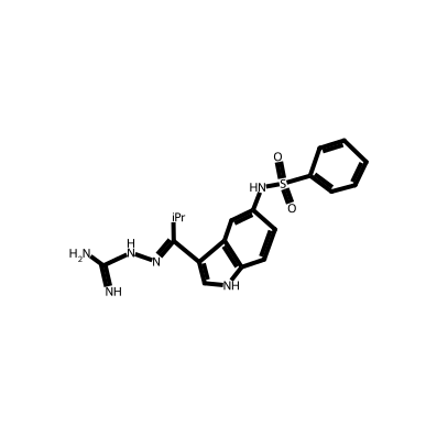 CC(C)/C(=N\NC(=N)N)c1c[nH]c2ccc(NS(=O)(=O)c3ccccc3)cc12